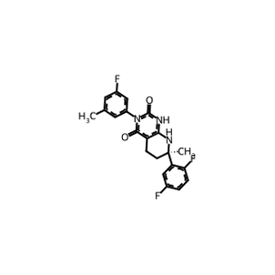 Cc1cc(F)cc(-n2c(=O)[nH]c3c(c2=O)CC[C@](C)(c2cc(F)ccc2F)N3)c1